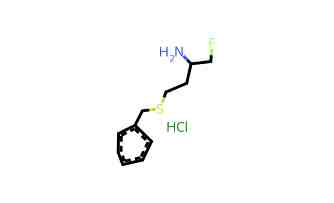 Cl.NC(CF)CCSCc1ccccc1